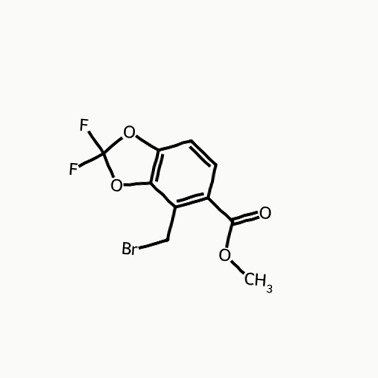 COC(=O)c1ccc2c(c1CBr)OC(F)(F)O2